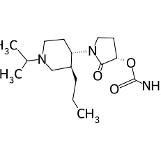 CCC[C@H]1CN(C(C)C)CC[C@@H]1N1CC[C@H](OC(N)=O)C1=O